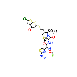 Nc1nc(C(=NOCF)C(=O)NC2C(=O)N3C(C(=O)O)=C(C=CSc4cc(=O)c5cc(Cl)sc5s4)CS[C@@H]23)cs1